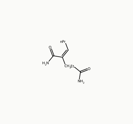 CCC(N)=O.CCCC=C(C)C(N)=O